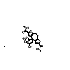 CNC(=O)c1cc2c(s1)CCc1sc(C(=O)NC)cc1C2(CCN)c1nn[nH]n1